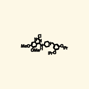 COc1cc2nc(Cl)nc(NC3CCN(Cc4cc(OC(C)C)cc(OC(C)C)c4)CC3)c2cc1OC